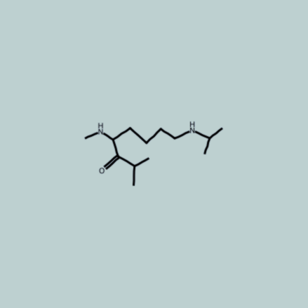 CNC(CCCCNC(C)C)C(=O)C(C)C